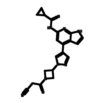 N#CCC(=O)N1CC(n2cc(-c3cc(NC(=O)C4CC4)nc4[nH]ccc34)cn2)C1